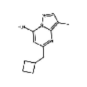 Cc1cnn2c(N)cc(CC3CCC3)nc12